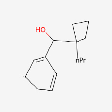 CCCC1(C(O)C2=C[CH]CC=C2)CCC1